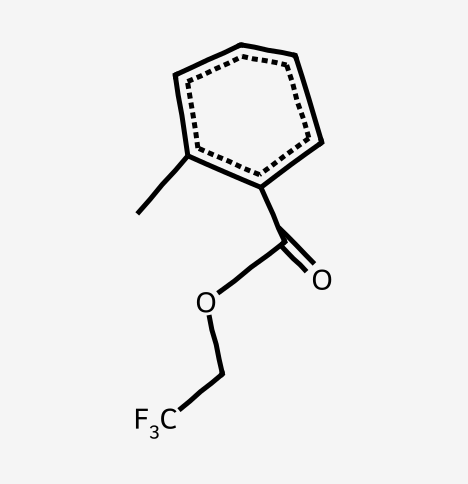 Cc1ccccc1C(=O)OCC(F)(F)F